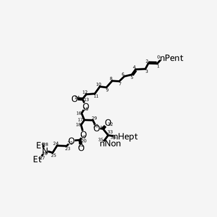 CCCCCC=CCC=CCCCCCCCC(=O)OCC(COC(=O)OCCCN(CC)CC)COC(=O)C(CCCCCCC)CCCCCCCCC